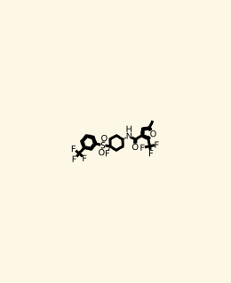 Cc1cc(C(=O)N[C@H]2CC[C@](F)(S(=O)(=O)c3cccc(C(F)(F)F)c3)CC2)c(C(F)(F)F)o1